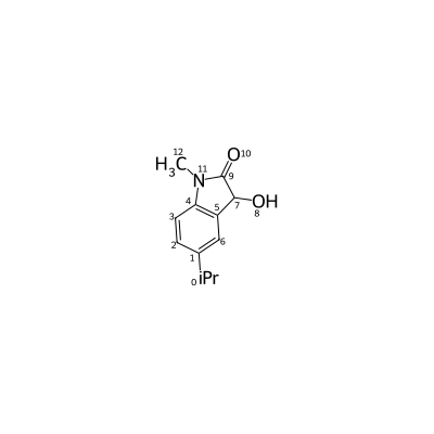 CC(C)c1ccc2c(c1)C(O)C(=O)N2C